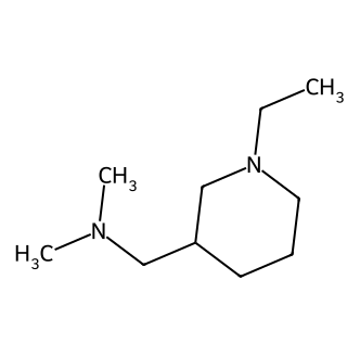 CCN1CCCC(CN(C)C)C1